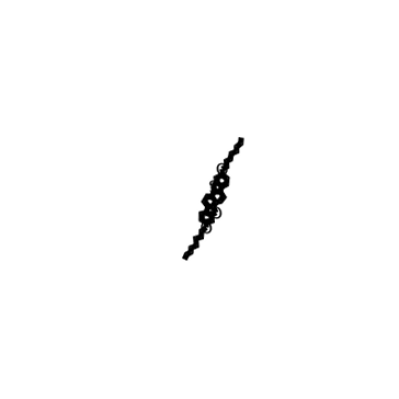 CCCCCCCCOc1ccc2c(c1)oc1c2ccc2c1ccc1c3ccc(OCCCCCCCC)cc3sc12